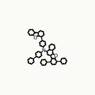 c1ccc(-c2ccc(N(c3ccc(-c4cccc5c4oc4ccccc45)cc3)c3cc4c(oc5c(-c6ccccc6)ccc(-c6ccccc6)c54)c4ccccc34)cc2)cc1